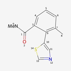 CNC(=O)c1cccc(C)c1-c1cncs1